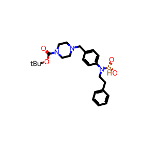 CC(C)(C)OC(=O)N1CCN(Cc2ccc(N(CCc3ccccc3)[SH](=O)=O)cc2)CC1